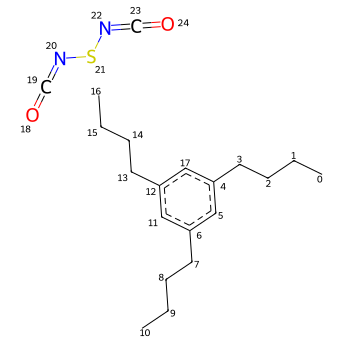 CCCCc1cc(CCCC)cc(CCCC)c1.O=C=NSN=C=O